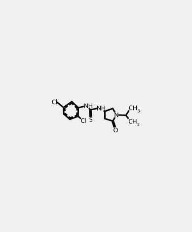 CC(C)N1CC(NC(=S)Nc2cc(Cl)ccc2Cl)CC1=O